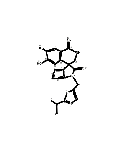 CC(C)c1ncc(CN2C(=O)C3(CNC(=N)c4cc(O)c(O)cc43)c3ccccc32)o1